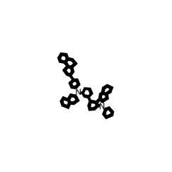 C1=CC(c2cccc3c2c2cc4ccccc4cc2n3-c2ccccc2)=CC(N(c2ccc(-c3ccc4c(ccc5ccccc54)c3)cc2)c2ccc3ccccc3c2)C1